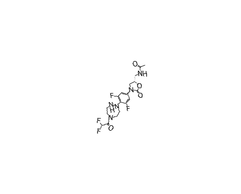 CC(=O)NC[C@H]1CN(c2cc(F)c(N3CCN(C(=O)C(F)F)CCN3)c(F)c2)C(=O)O1